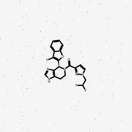 O=C(c1ccn(CC(F)F)n1)N1CCc2[nH]cnc2[C@H]1c1oc2ccccc2c1F